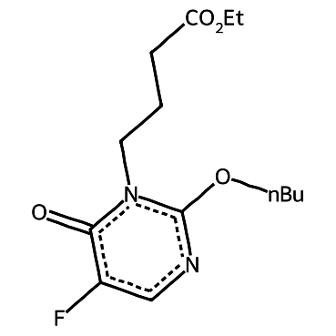 CCCCOc1ncc(F)c(=O)n1CCCC(=O)OCC